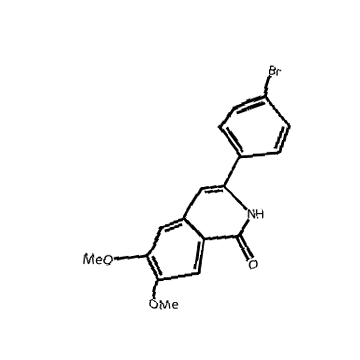 COc1cc2cc(-c3ccc(Br)cc3)[nH]c(=O)c2cc1OC